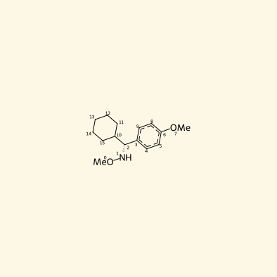 CON[C@@H](c1ccc(OC)cc1)C1CCCCC1